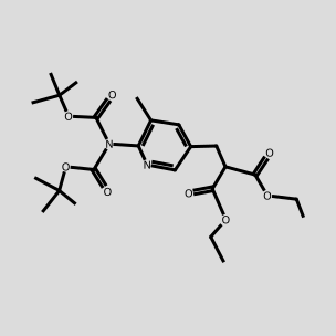 CCOC(=O)C(Cc1cnc(N(C(=O)OC(C)(C)C)C(=O)OC(C)(C)C)c(C)c1)C(=O)OCC